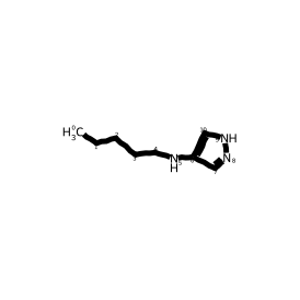 CCCCCNc1[c]n[nH]c1